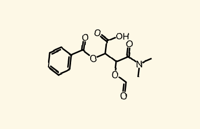 CN(C)C(=O)C(OC=O)C(OC(=O)c1ccccc1)C(=O)O